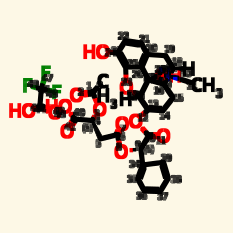 CC(=O)O[C@@H](CC(=O)O[C@H](C(=O)OC1=CC[C@@]2(O)[C@H]3Cc4ccc(O)c5c4[C@@]2(CCN3C)[C@H]1O5)c1ccccc1)C(=O)O.O=C(O)C(F)(F)F